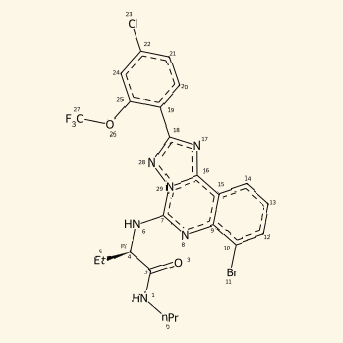 CCCNC(=O)[C@@H](CC)Nc1nc2c(Br)cccc2c2nc(-c3ccc(Cl)cc3OC(F)(F)F)nn12